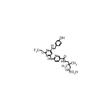 CC(C)(CNC(=O)O)CNC(=O)c1ccc(Nc2cc(NCc3ccc(O)cc3)nc(OCC(F)(F)F)n2)nc1